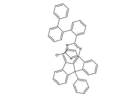 Clc1nc(-c2ccccc2-c2ccccc2-c2ccccc2)nc(-c2ccccc2C2(c3ccccc3)c3ccccc3-c3ccccc32)n1